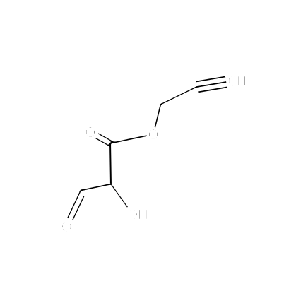 C#CCOC(=O)C(O)C=O